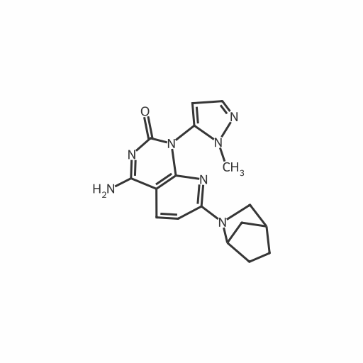 Cn1nccc1-n1c(=O)nc(N)c2ccc(N3CC4CCC3C4)nc21